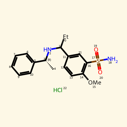 CCC(N[C@H](C)c1ccccc1)c1ccc(OC)c(S(N)(=O)=O)c1.Cl